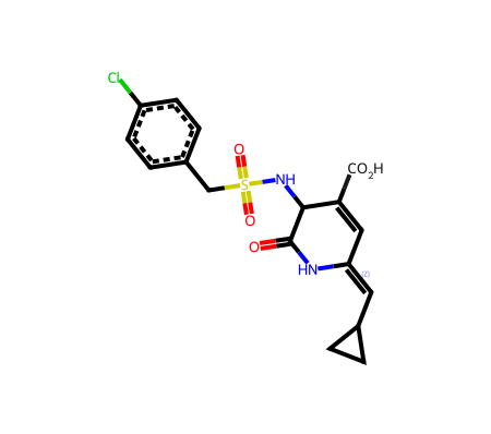 O=C(O)C1=C/C(=C/C2CC2)NC(=O)C1NS(=O)(=O)Cc1ccc(Cl)cc1